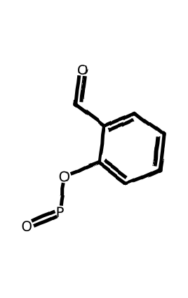 O=Cc1ccccc1OP=O